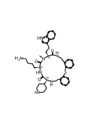 CN1C(=O)[C@H](CCCCN)NC(=O)[C@H](C2CCNCC2)NCc2ccccc2Sc2ccccc2CNC(=O)[C@@H]1CCc1c[nH]c2ccccc12